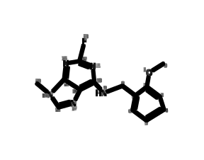 COc1ccccc1CNc1nc(F)nc2c1ncn2C